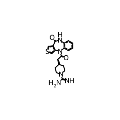 N=C(N)N1CCC(=CC(=O)N2c3ccccc3NC(=O)c3cscc32)CC1